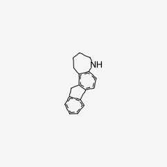 c1ccc2c(c1)Cc1c-2ccc2c1CCCCN2